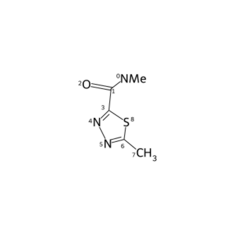 CNC(=O)c1nnc(C)s1